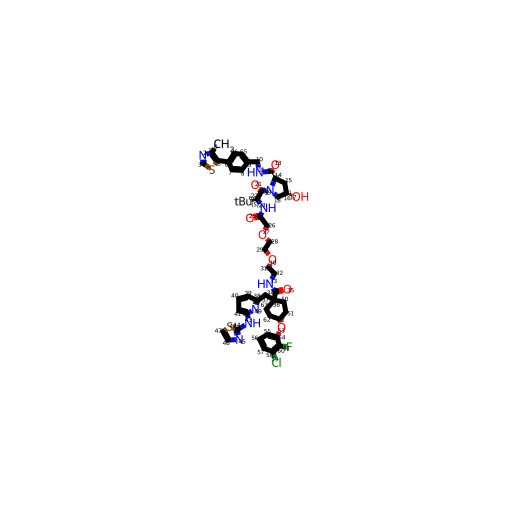 Cc1ncsc1-c1ccc(CNC(=O)[C@@H]2C[C@@H](O)CN2C(=O)[C@@H](NC(=O)COCCOCCNC(=O)C2(Cc3cccc(Nc4nccs4)n3)CCC(Oc3cccc(Cl)c3F)CC2)C(C)(C)C)cc1